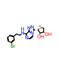 O[C@@H]1[C@H](O)CS[C@H]1c1nnc2c(NCCc3cccc(Br)c3)nccn12